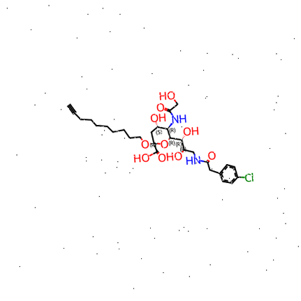 C#CCCCCCCCCO[C@]1(C(=O)O)C[C@H](O)[C@@H](NC(=O)CO)[C@H]([C@H](O)[C@H](O)CNC(=O)Cc2ccc(Cl)cc2)O1